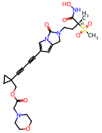 C[C@@](CCN1Cc2cc(C#CC#CC3(COC(=O)CN4CCOCC4)CC3)cn2C1=O)(C(=O)NO)S(C)(=O)=O